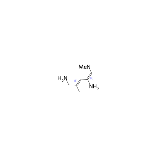 CN/C=C(N)\C=C(/C)CN